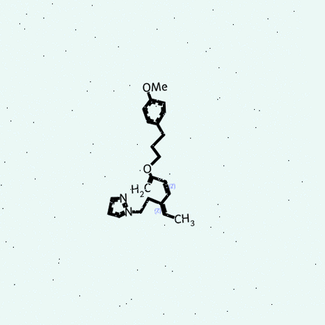 C=C(/C=C\C(=C/C)CCn1cccn1)OCCCc1ccc(OC)cc1